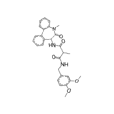 COc1ccc(CNC(=O)C(C)C(=O)NC2C(=O)N(C)c3ccccc3-c3ccccc32)cc1OC